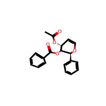 CC(=O)O[C@@H]1C=CO[C@@H](c2ccccc2)[C@H]1OC(=O)c1ccccc1